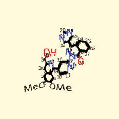 COc1cc2c(cc1OC)C(c1ccnc(-n3nc(-c4cncnc4)c4ccccc4c3=O)c1)=N[C@H](CO)C2